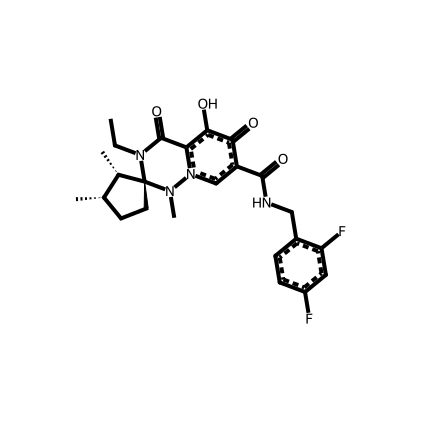 CCN1C(=O)c2c(O)c(=O)c(C(=O)NCc3ccc(F)cc3F)cn2N(C)[C@@]12CC[C@H](C)[C@@H]2C